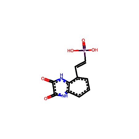 O=c1[nH]c2cccc(/C=C/P(=O)(O)O)c2[nH]c1=O